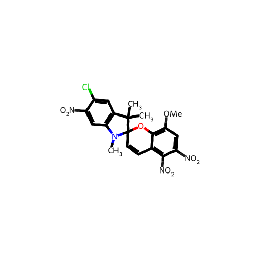 COc1cc([N+](=O)[O-])c([N+](=O)[O-])c2c1OC1(C=C2)N(C)c2cc([N+](=O)[O-])c(Cl)cc2C1(C)C